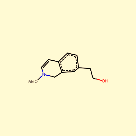 CON1C=Cc2ccc(CCO)cc2C1